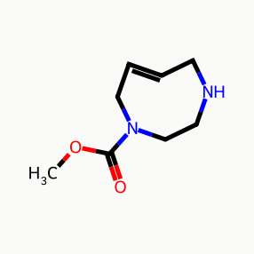 COC(=O)N1C/C=C/CNCC1